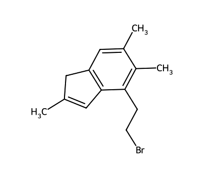 CC1=Cc2c(cc(C)c(C)c2CCBr)C1